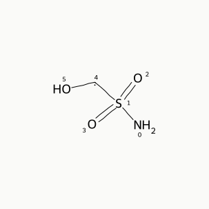 NS(=O)(=O)[CH]O